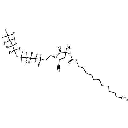 CCCCCCCCCCCCSC(=S)SC(C)(CCC#N)C(=O)OCCC(F)(F)C(F)(F)C(F)(F)C(F)(F)C(F)(F)CC(F)(F)C(F)(F)C(F)(F)C(F)(F)F